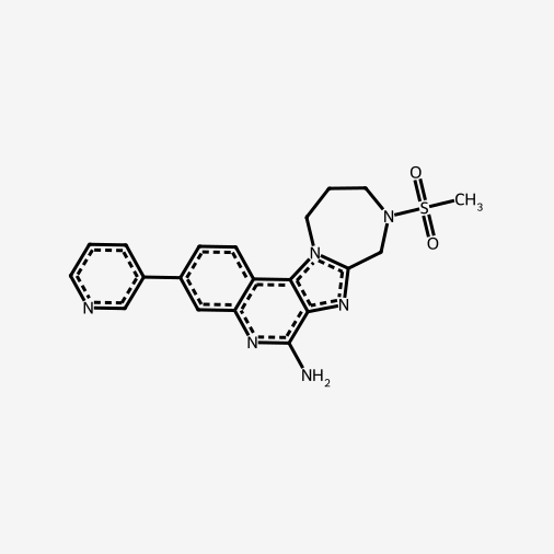 CS(=O)(=O)N1CCCn2c(nc3c(N)nc4cc(-c5cccnc5)ccc4c32)C1